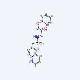 O=C(Cc1ccc2ncccc2c1)NCC1COc2ccccc2O1